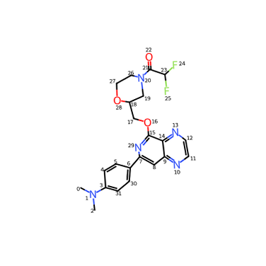 CN(C)c1ccc(-c2cc3nccnc3c(OCC3CN(C(=O)C(F)F)CCO3)n2)cc1